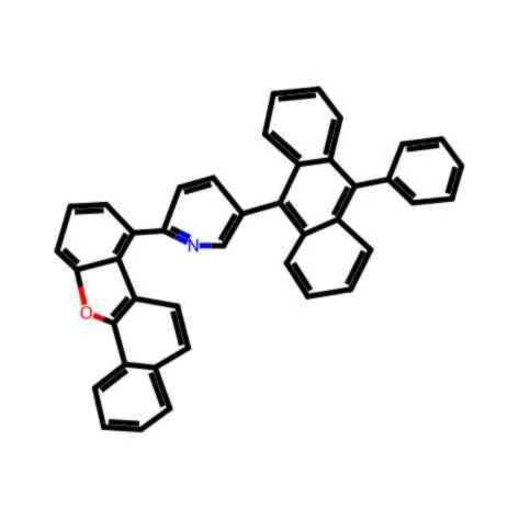 c1ccc(-c2c3ccccc3c(-c3ccc(-c4cccc5oc6c7ccccc7ccc6c45)nc3)c3ccccc23)cc1